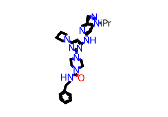 CC(C)n1ncc2cnc(Nc3cc(N4CCCC4)nc(N4CCN(C(=O)NCCc5ccccc5)CC4)n3)cc21